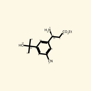 CCOC(=O)C[C@H](N)c1cc(C#N)cc(C(C)(C)O)c1